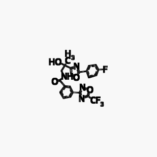 CC(O)(CNC(=O)c1cccc(-c2noc(C(F)(F)F)n2)c1)c1coc(-c2ccc(F)cc2)n1